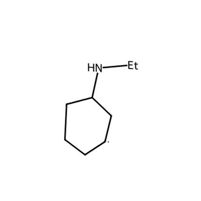 CCNC1C[CH]CCC1